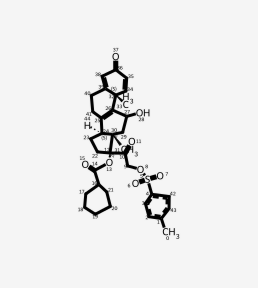 Cc1ccc(S(=O)(=O)OCC(=O)[C@@]2(OC(=O)C3CCCCC3)CC[C@H]3C4=C(C(O)C[C@@]32C)[C@@]2(C)C=CC(=O)C=C2CC4)cc1